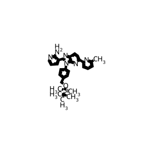 Cc1cccc(-c2ccc3nc(-c4cccnc4N)n(-c4ccc(CO[Si](C)(C)C(C)(C)C)cc4)c3n2)n1